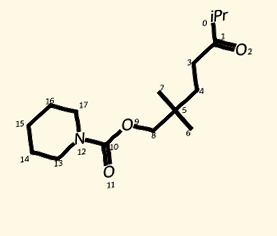 CC(C)C(=O)CCC(C)(C)COC(=O)N1CCCCC1